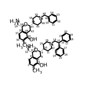 Cc1ccc2c(c1O)C[C@@H](C1CCN(CC(c3ccccc3)c3ccccc3)CC1)O[C@H]2CN.Cc1ccc2c(c1O)C[C@@H](C1CCN(Cc3ccccc3)CC1)O[C@H]2CN